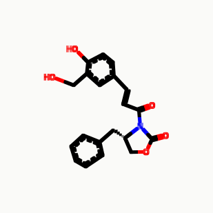 O=C(/C=C/c1ccc(O)c(CO)c1)N1C(=O)OC[C@@H]1Cc1ccccc1